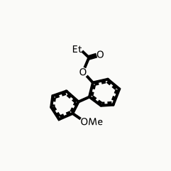 CCC(=O)Oc1ccccc1-c1ccccc1OC